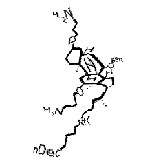 CCCCCCCCCCCCCCNCCC[C@@H](C)[C@H]1CC[C@H]2[C@@H]3[C@H](OCCCC)C[C@@H]4C[C@H](OCCCN)CC[C@]4(C)[C@H]3C[C@H](OCCCN)[C@]12C